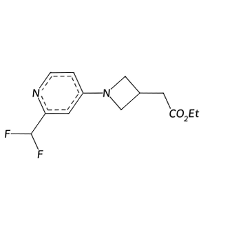 CCOC(=O)CC1CN(c2ccnc(C(F)F)c2)C1